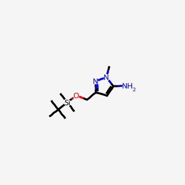 Cn1nc(CO[Si](C)(C)C(C)(C)C)cc1N